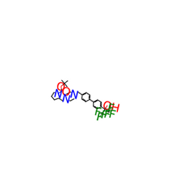 CC(C)(C)OC(=O)N1CCCC1CN1CCN(Cc2ccc(-c3ccc(C(O)(C(F)(F)F)C(F)(F)F)cc3)cc2)CC1